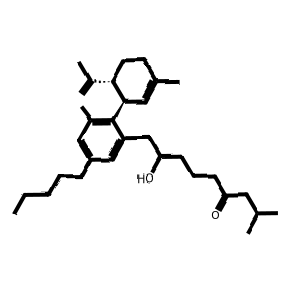 C=C(C)[C@@H]1CCC(C)=C[C@H]1c1c(C)cc(CCCCC)cc1CC(O)CCCC(=O)CC(C)C